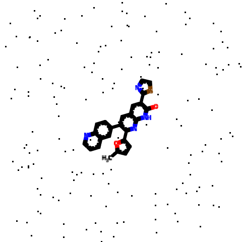 Cc1ccc(-c2nc3[nH]c(=O)c(-c4nccs4)cc3cc2-c2ccc3ncccc3c2)o1